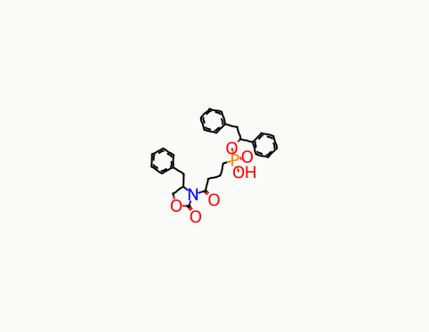 O=C(CCCP(=O)(O)OC(Cc1ccccc1)c1ccccc1)N1C(=O)OCC1Cc1ccccc1